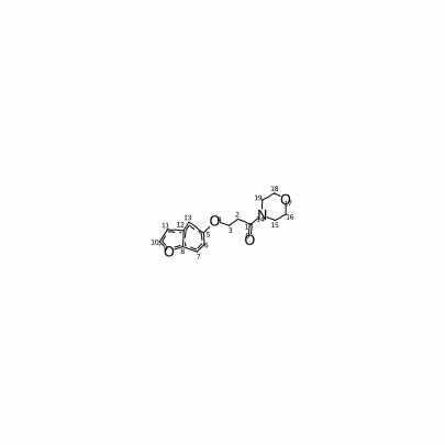 O=C(CCOc1ccc2o[c]cc2c1)N1CCOCC1